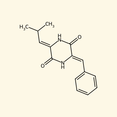 CC(C)C=c1[nH]c(=O)c(=Cc2ccccc2)[nH]c1=O